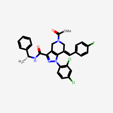 COC(=O)N1C/C(=C\c2ccc(F)cc2)c2c(c(C(=O)N[C@H](C)c3ccccc3)nn2-c2ccc(Cl)cc2Cl)C1